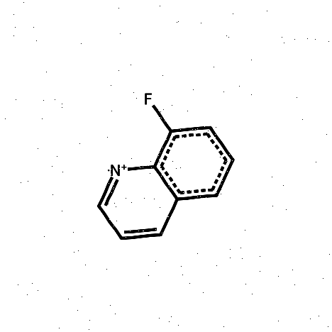 Fc1cccc2c1[N+]=CC=C2